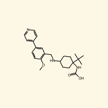 COc1ccc(-c2ccncc2)cc1CNC1CCC(NC(=O)O)(C(C)(C)C)CC1